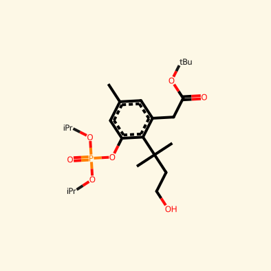 Cc1cc(CC(=O)OC(C)(C)C)c(C(C)(C)CCO)c(OP(=O)(OC(C)C)OC(C)C)c1